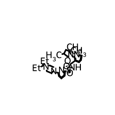 CCC(CC)N1CCN(c2cccc(S(=O)(=O)NC(=O)c3cccnc3N3CC(C)CC3(C)C)n2)CC1